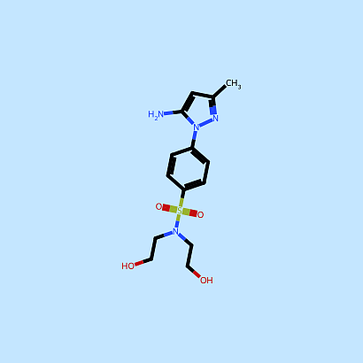 Cc1cc(N)n(-c2ccc(S(=O)(=O)N(CCO)CCO)cc2)n1